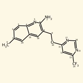 Cc1ccc2nc(N)c(COc3cc(C(F)(F)F)ncn3)cc2c1